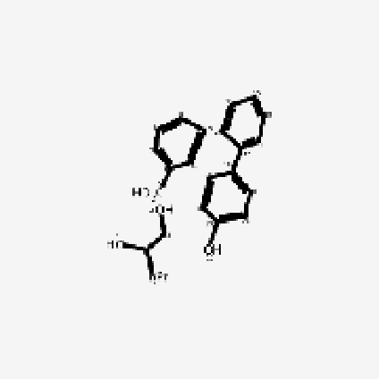 CCCC(O)CO.O=C(O)c1ccccc1.Oc1ccc(-c2ccccc2)cc1